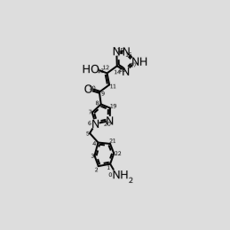 Nc1ccc(Cn2cc(C(=O)C=C(O)c3nn[nH]n3)cn2)cc1